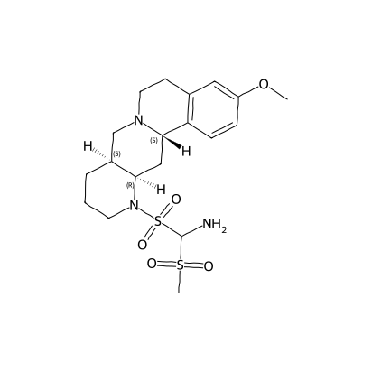 COc1ccc2c(c1)CCN1C[C@@H]3CCCN(S(=O)(=O)C(N)S(C)(=O)=O)[C@@H]3C[C@@H]21